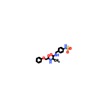 CC(NC(=O)COc1ccccc1)C(=O)NCc1ccc(N[SH](=O)=O)cc1